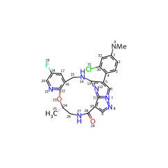 CNc1ccc(-c2cn3ncc4c3nc2NCc2cc(F)cnc2O[C@@H](C)CNC4=O)c(Cl)c1